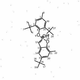 Cc1cc(C(C)(C)C)c(OP2(O)=Cc3cc(C(C)(C)C)cc(C)c3O2)c(C(C)(C)C)c1